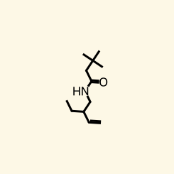 C=CC(CC)CNC(=O)CC(C)(C)C